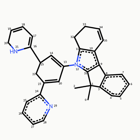 CC1(C)c2ccccc2-c2c3c(n(C4=CC(C5=CC=CCN5)CC(c5ccccn5)=C4)c21)CCC=C3